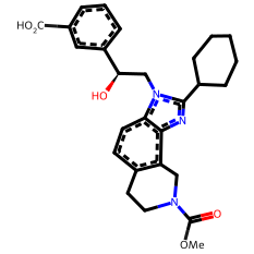 COC(=O)N1CCc2ccc3c(nc(C4CCCCC4)n3C[C@@H](O)c3cccc(C(=O)O)c3)c2C1